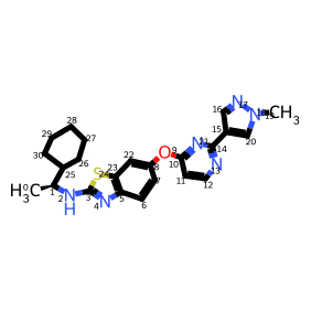 C[C@H](Nc1nc2ccc(Oc3ccnc(-c4cnn(C)c4)n3)cc2s1)C1CCCCC1